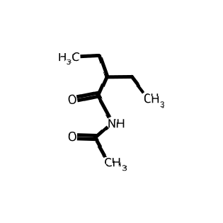 CCC(CC)C(=O)NC(C)=O